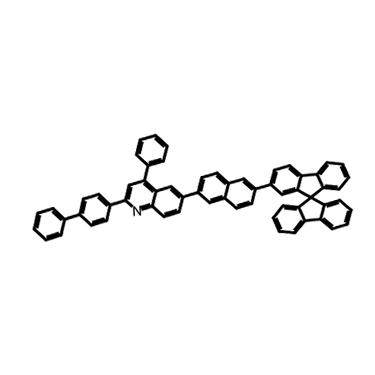 c1ccc(-c2ccc(-c3cc(-c4ccccc4)c4cc(-c5ccc6cc(-c7ccc8c(c7)C7(c9ccccc9-c9ccccc97)c7ccccc7-8)ccc6c5)ccc4n3)cc2)cc1